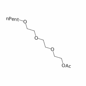 CCCCCOCCOCCOCCOC(C)=O